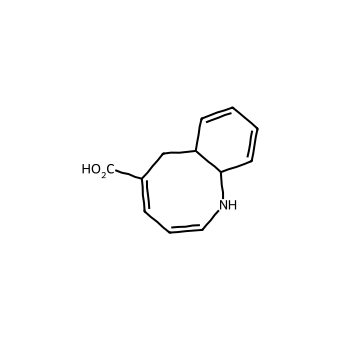 O=C(O)/C1=C/C=C\NC2C=CC=CC2C1